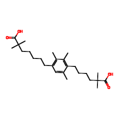 Cc1cc(CCCCCC(C)(C)C(=O)O)c(C)c(C)c1CCCCC(C)(C)C(=O)O